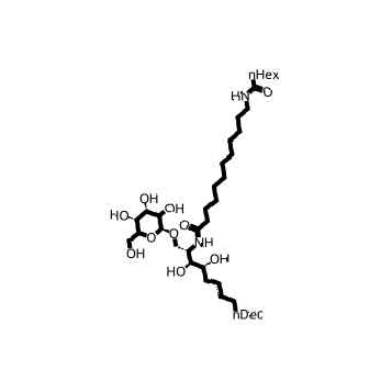 CCCCCCCCCCCCCC[C@@H](O)[C@@H](O)[C@H](CO[C@H]1OC(CO)[C@H](O)[C@H](O)C1O)NC(=O)CCCCCCCCCCCNC(=O)CCCCCC